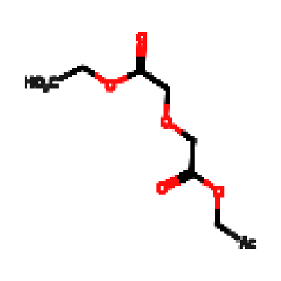 CC(=O)COC(=O)COCC(=O)OCC(=O)O